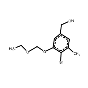 CCOCOc1cc(CO)cc(C)c1Br